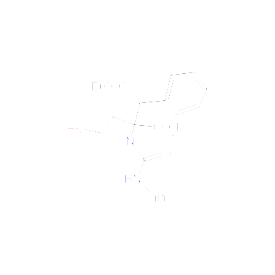 CCOC(=O)C(c1ccccc1)C(CCO)(NC(=O)NC(C)C)C(=O)O